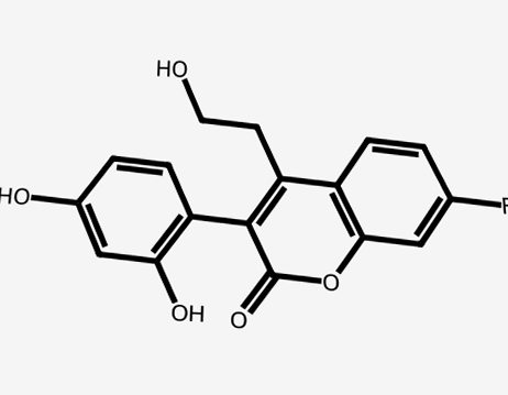 O=c1oc2cc(F)ccc2c(CCO)c1-c1ccc(O)cc1O